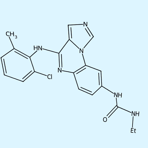 CCNC(=O)Nc1ccc2nc(Nc3c(C)cccc3Cl)c3cncn3c2c1